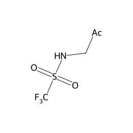 CC(=O)CNS(=O)(=O)C(F)(F)F